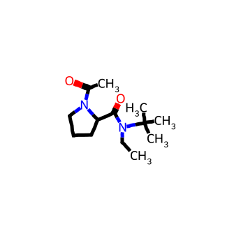 CCN(C(=O)C1CCCN1C(C)=O)C(C)(C)C